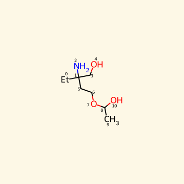 CCC(N)(CO)CCOC(C)O